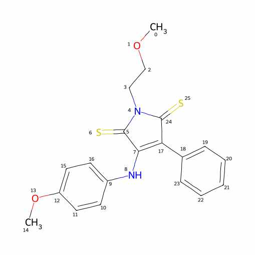 COCCN1C(=S)C(Nc2ccc(OC)cc2)=C(c2ccccc2)C1=S